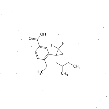 CCc1ccc(C(=O)O)cc1C1(CC(C)CC)CC1(F)F